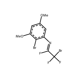 COc1cc(N=C(F)C(F)(F)Br)c(Br)c(OC)c1